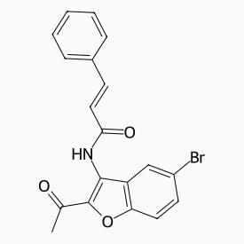 CC(=O)c1oc2ccc(Br)cc2c1NC(=O)/C=C/c1ccccc1